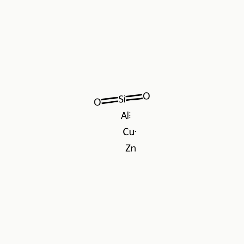 O=[Si]=O.[Al].[Cu].[Zn]